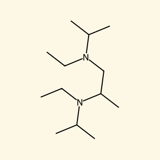 CCN(CC(C)N(CC)C(C)C)C(C)C